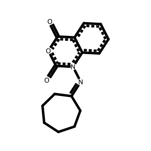 O=c1oc(=O)n(N=C2CCCCCC2)c2ccccc12